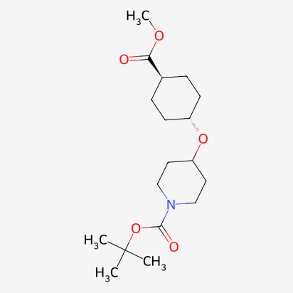 COC(=O)[C@H]1CC[C@H](OC2CCN(C(=O)OC(C)(C)C)CC2)CC1